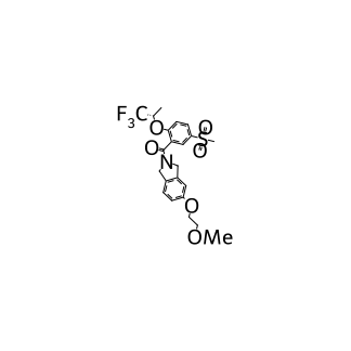 COCCOc1ccc2c(c1)CN(C(=O)c1cc(S(C)(=O)=O)ccc1O[C@@H](C)C(F)(F)F)C2